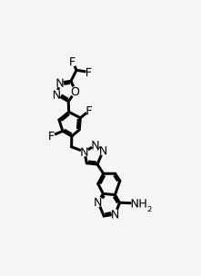 Nc1ncnc2cc(-c3cn(Cc4cc(F)c(-c5nnc(C(F)F)o5)cc4F)nn3)ccc12